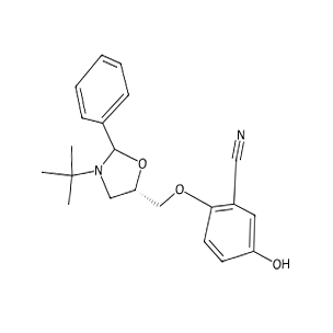 CC(C)(C)N1C[C@@H](COc2ccc(O)cc2C#N)OC1c1ccccc1